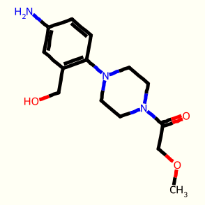 COCC(=O)N1CCN(c2ccc(N)cc2CO)CC1